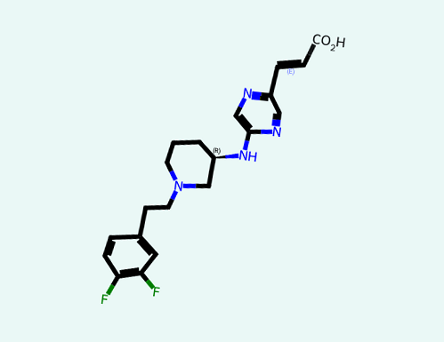 O=C(O)/C=C/c1cnc(N[C@@H]2CCCN(CCc3ccc(F)c(F)c3)C2)cn1